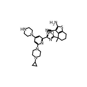 CC1(c2nc(-c3cc(N4CCNCC4)cc(N4CCN(C5CC5)CC4)n3)no2)CCCc2sc(N)c(C#N)c21